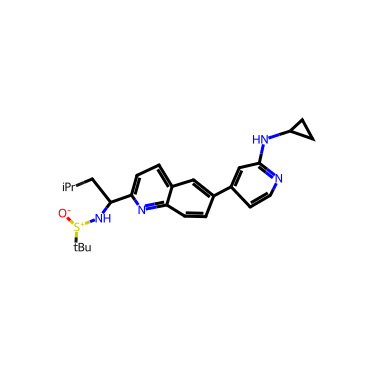 CC(C)CC(N[S+]([O-])C(C)(C)C)c1ccc2cc(-c3ccnc(NC4CC4)c3)ccc2n1